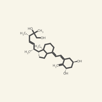 C=C1C(=CC=C2CCC[C@@]3(C)C2CC[C@@H]3[C@H](C)/C=C/[C@H](C)C(C)(O)CO)C[C@@H](O)C[C@@H]1O